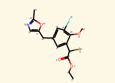 CCOC(=O)C(Br)c1cc(Cc2cnc(C)o2)cc(F)c1OC